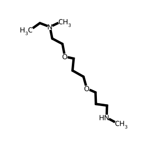 CCN(C)CCOCCCOCCCNC